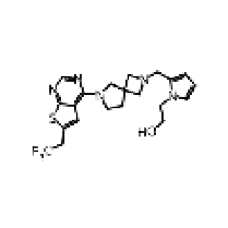 OCCn1cccc1CN1CC2(CCN(c3ncnc4sc(CC(F)(F)F)cc34)C2)C1